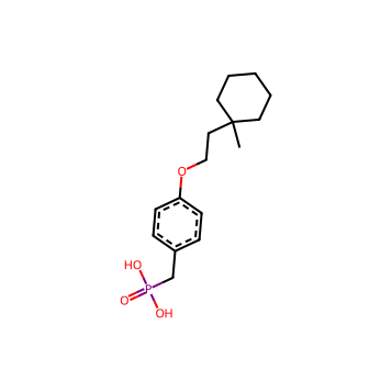 CC1(CCOc2ccc(CP(=O)(O)O)cc2)CCCCC1